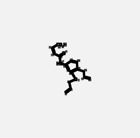 C=CCOc1cc(NC(=O)/C=C\C(=O)O)ccc1CC=C